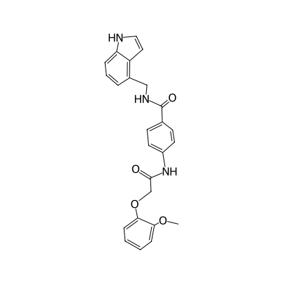 COc1ccccc1OCC(=O)Nc1ccc(C(=O)NCc2cccc3[nH]ccc23)cc1